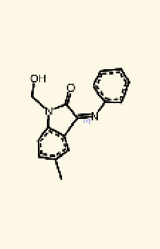 Cc1ccc2c(c1)/C(=N/c1ccccc1)C(=O)N2CO